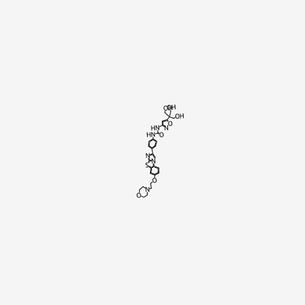 O=C(Nc1ccc(-c2cn3c(n2)sc2cc(OCCN4CCOCC4)ccc23)cc1)Nc1cc(C(CO)(CO)CO)on1